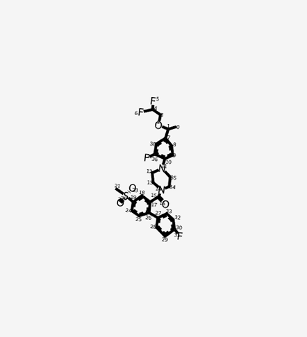 CC(OCC(F)F)c1ccc(N2CCN(C(=O)c3cc(S(C)(=O)=O)ccc3-c3ccc(F)cc3)CC2)c(F)c1